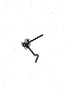 CCCCC/C=C\C/C=C\CCCCCCCC(=O)OC1(NC(=O)C(CCCCCCCCCCCC)C(C)=O)CC=CCC1